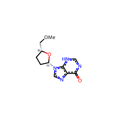 COC[C@H]1CC[C@@H](n2cnc3c(=O)nc[nH]c32)O1